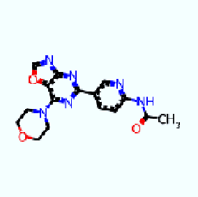 CC(=O)Nc1ccc(-c2nc(N3CCOCC3)c3ocnc3n2)cn1